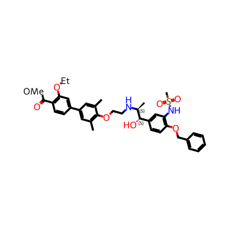 CCOc1cc(-c2cc(C)c(OCCN[C@@H](C)[C@@H](O)c3ccc(OCc4ccccc4)c(NS(C)(=O)=O)c3)c(C)c2)ccc1C(=O)OC